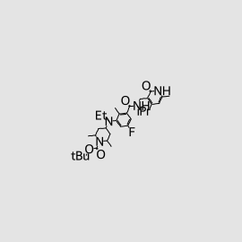 CCN(c1cc(F)cc(C(=O)NCc2c(C(C)C)cc(C)[nH]c2=O)c1C)C1CC(C)N(C(=O)OC(C)(C)C)C(C)C1